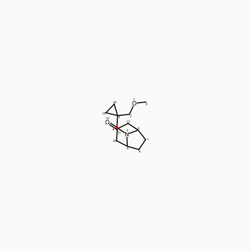 COCC1(CN2C3CCC2CC(=O)C3)CC1